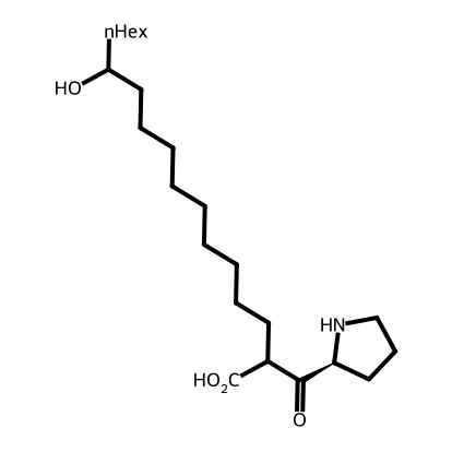 CCCCCCC(O)CCCCCCCCCC(C(=O)O)C(=O)[C@@H]1CCCN1